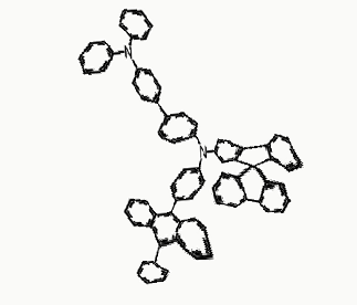 c1ccc(-c2c3ccccc3c(-c3ccc(N(c4ccc(-c5ccc(N(c6ccccc6)c6ccccc6)cc5)cc4)c4ccc5c(c4)C4(c6ccccc6-c6ccccc64)c4ccccc4-5)cc3)c3ccccc23)cc1